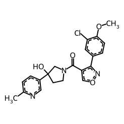 COc1ccc(-c2nocc2C(=O)N2CCC(O)(c3ccc(C)nc3)C2)cc1Cl